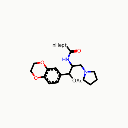 CCCCCCCC(=O)NC(CN1CCCC1)C(OC(C)=O)c1ccc2c(c1)OCCO2